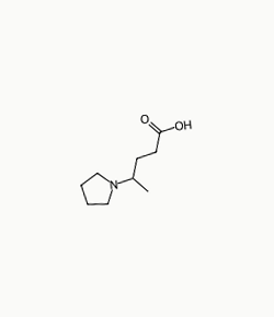 CC(CCC(=O)O)N1CCCC1